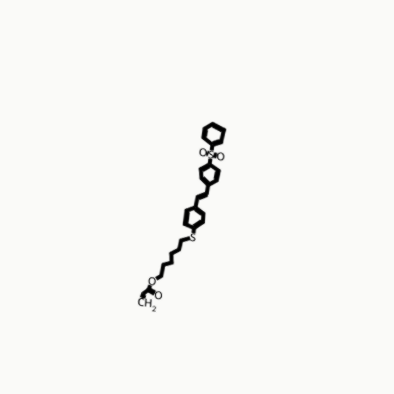 C=CC(=O)OCCCCCCSc1ccc(C=Cc2ccc(S(=O)(=O)c3ccccc3)cc2)cc1